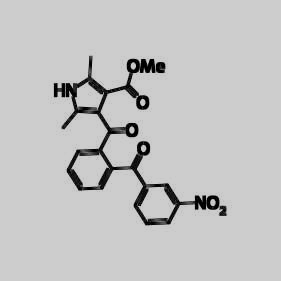 COC(=O)c1c(C)[nH]c(C)c1C(=O)c1ccccc1C(=O)c1cccc([N+](=O)[O-])c1